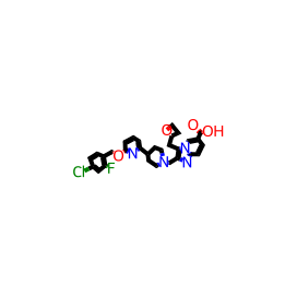 O=C(O)c1ccc2nc(CN3CCC(c4cccc(OCc5ccc(Cl)cc5F)n4)CC3)c(CC3CCO3)n2c1